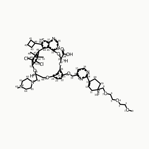 COCCOCCOC[C@]1(F)CC=C(c2nccc(COc3ccc4cc3C[C@H](C(=O)O)Oc3ncnc5sc(C6CCC6)c(c35)-c3c(C)c(Cl)c(c(Cl)c3C)O[C@H](CN3CCN(C)CC3)CO4)n2)CC1